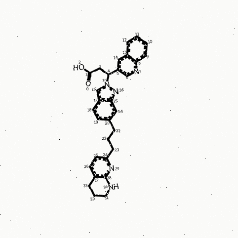 O=C(O)CC(c1cnc2ccccc2c1)n1cc2ccc(CCCc3ccc4c(n3)NCCC4)cc2n1